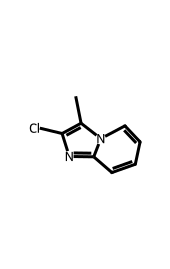 Cc1c(Cl)nc2ccccn12